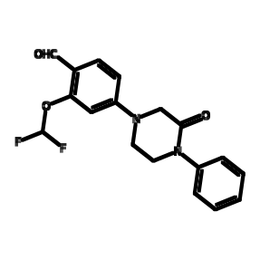 O=Cc1ccc(N2CCN(c3ccccc3)C(=O)C2)cc1OC(F)F